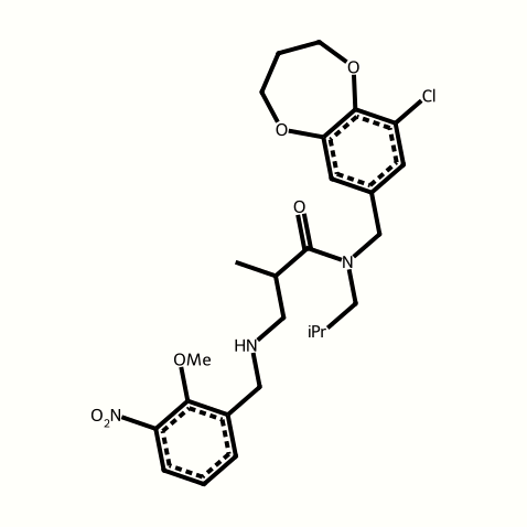 COc1c(CNCC(C)C(=O)N(Cc2cc(Cl)c3c(c2)OCCCO3)CC(C)C)cccc1[N+](=O)[O-]